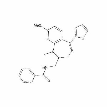 COc1ccc2c(c1)N(C)C(CNC(=O)c1ccccc1)CN=C2c1cccs1